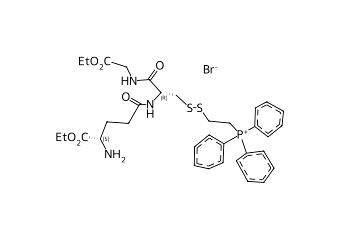 CCOC(=O)CNC(=O)[C@H](CSSCC[P+](c1ccccc1)(c1ccccc1)c1ccccc1)NC(=O)CC[C@H](N)C(=O)OCC.[Br-]